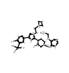 CCOc1cncnc1NN1CCC(c2nc(-c3ccc(F)c(C(F)(F)F)c3)cn2CCN2CCC2)[C@H](F)C1